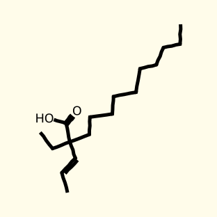 CC=CC(CC)(CCCCCCCCCC)C(=O)O